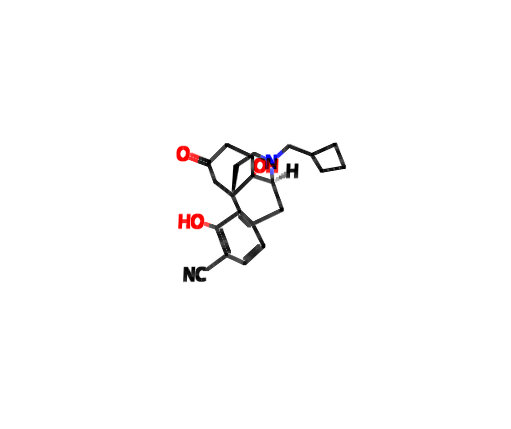 N#Cc1ccc2c(c1O)[C@@]13CCN(CC4CCC4)[C@@H](C2)[C@@]1(O)CCC(=O)C3